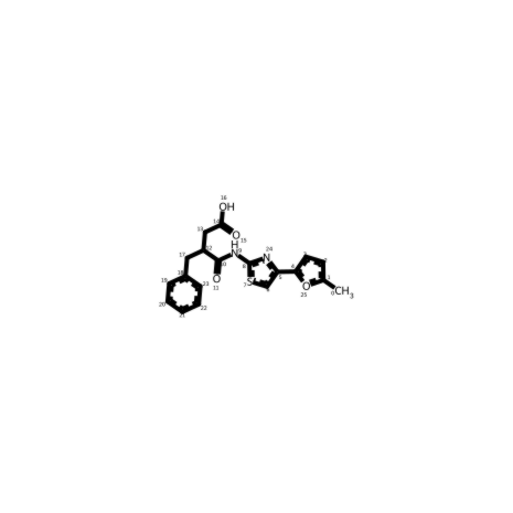 Cc1ccc(-c2csc(NC(=O)C(CC(=O)O)Cc3ccccc3)n2)o1